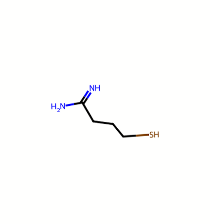 N=C(N)CCCS